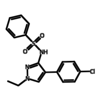 CCn1cc(-c2ccc(Cl)cc2)c(NS(=O)(=O)c2ccccc2)n1